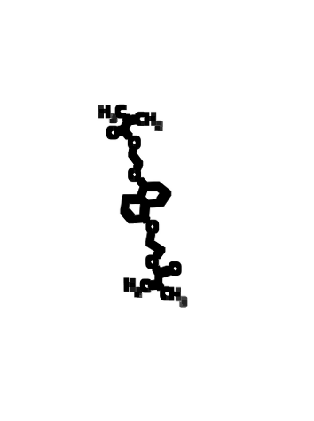 C=C(C)C(=O)OCCOc1cccc2c(OCCOC(=O)C(=C)C)cccc12